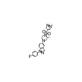 CC1CN(c2ccc3c(cnn3-c3ccc(F)cc3)c2)CCN1S(=O)(=O)c1cnn(C)c1